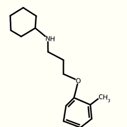 Cc1ccccc1OCCCNC1CCCCC1